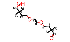 CC(C)(C=O)CCOC=COCCC(C)(C)CO